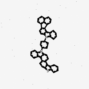 c1cc2c3c(cccc3c1)-c1c-2ccc2c1c1ccccc1n2-c1ccc(-n2c3ccccc3c3c4ccc5sc6ccccc6c5c4ccc32)cc1